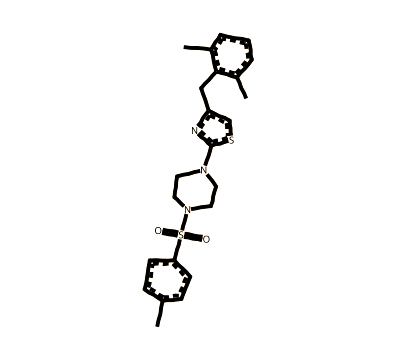 Cc1ccc(S(=O)(=O)N2CCN(c3nc(Cc4c(C)cccc4C)cs3)CC2)cc1